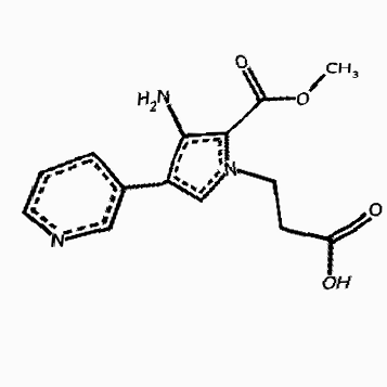 COC(=O)c1c(N)c(-c2cccnc2)cn1CCC(=O)O